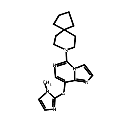 Cn1ccnc1Sc1cnc(N2CCC3(CCCC3)CC2)n2ccnc12